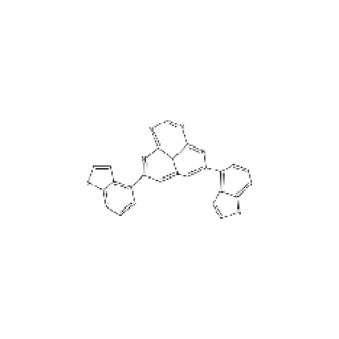 C1=NC2=NC(c3cccc4sccc34)=CC3=CC(c4cccc5sccc45)=NC(=N1)C32